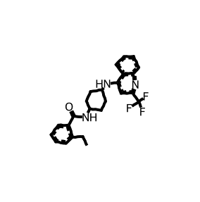 CCc1ccccc1C(=O)NC1CCC(Nc2cc(C(F)(F)F)nc3ccccc23)CC1